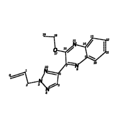 C=CCn1ncc(-c2nc3ccccc3nc2OCC)n1